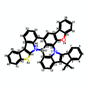 CC1(C)c2ccccc2-c2c1c1cccc3c1n2-c1c2c(cc4c1oc1ccccc14)-c1cccc4c5c6ccccc6sc5n(c14)B23